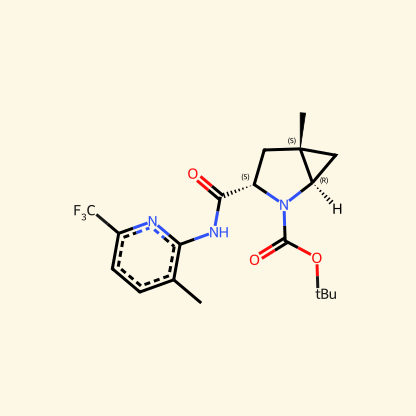 Cc1ccc(C(F)(F)F)nc1NC(=O)[C@@H]1C[C@]2(C)C[C@H]2N1C(=O)OC(C)(C)C